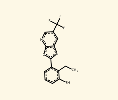 CCc1c(S)cccc1-c1nc2cc(C(F)(F)F)cnc2o1